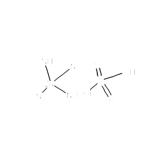 O=S(=O)(O)O.[NH2][Zn]([NH2])([NH2])[NH2]